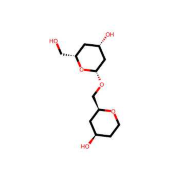 OC[C@@H]1C[C@H](O)C[C@H](OC[C@@H]2C[C@H](O)CCO2)O1